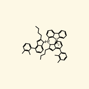 CCCCC1=Cc2c(-c3cccc(C)c3C)cccc2[CH]1[Hf]([c]1cccc2c1[SiH2]c1ccccc1-2)[CH]1C(CCCC)=Cc2c(-c3cccc(C)c3C)cccc21